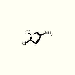 Nc1ccc(Cl)[n+]([O-])c1